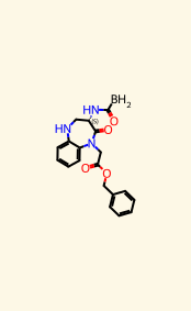 BC(=O)N[C@H]1CNc2ccccc2N(CC(=O)OCc2ccccc2)C1=O